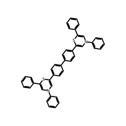 C1=C(c2ccccc2)SC(c2ccc(-c3ccc(C4=CN(c5ccccc5)C=C(c5ccccc5)S4)cc3)cc2)=CN1c1ccccc1